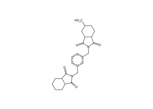 O=C(O)C1CCC2C(=O)N(Cc3cccc(CN4C(=O)C5CCCCC5C4=O)c3)C(=O)C2C1